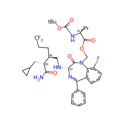 CC(C)[C@H](NC(=O)OC(C)(C)C)C(=O)OCN1C(=O)[C@@H](NC[C@H](CCC(F)(F)F)[C@@H](CC2CC2)C(N)=O)N=C(c2ccccc2)c2cccc(F)c21